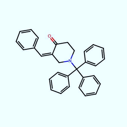 O=C1CCN(C(c2ccccc2)(c2ccccc2)c2ccccc2)CC1=Cc1ccccc1